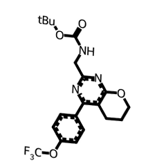 CC(C)(C)OC(=O)NCc1nc2c(c(-c3ccc(OC(F)(F)F)cc3)n1)CCCO2